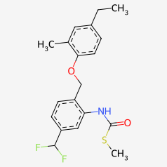 CCc1ccc(OCc2ccc(C(F)F)cc2NC(=O)SC)c(C)c1